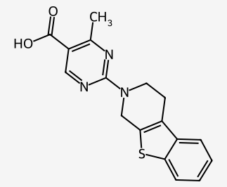 Cc1nc(N2CCc3c(sc4ccccc34)C2)ncc1C(=O)O